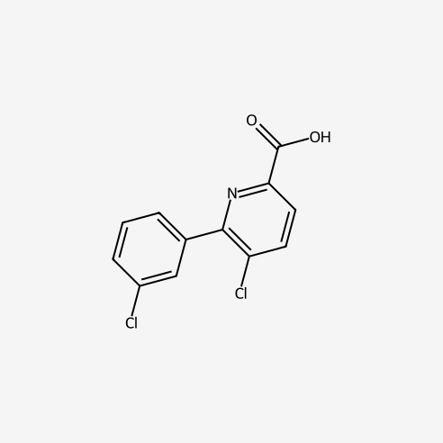 O=C(O)c1ccc(Cl)c(-c2cccc(Cl)c2)n1